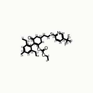 CCOC(=O)OC1=C(c2c(CC)cc(C)cc2CC)C(=O)CC(CCSc2ccc(C(F)(F)F)cn2)C1